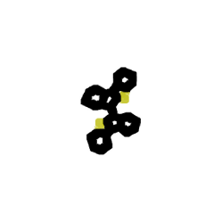 c1ccc2c(c1)/C(=C1/c3ccccc3-c3c1sc1ccccc31)c1sc3ccccc3c1-2